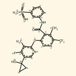 Cc1c(Oc2nnc(C(F)(F)F)c(C)c2C(=O)Nc2cccc(S(C)(=N)=O)c2)ncc(C2(O)CC2)c1F